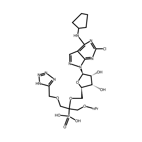 CCCOCC(COCc1nnn[nH]1)(OC[C@H]1O[C@@H](n2ncc3c(NC4CCCC4)nc(Cl)nc32)[C@H](O)[C@@H]1O)P(=O)(O)O